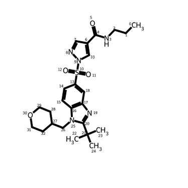 CCCNC(=O)c1cnn(S(=O)(=O)c2ccc3c(c2)nc(C(C)(C)C)n3CC2CCOCC2)c1